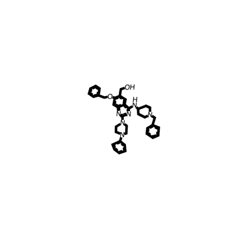 OCc1cc2c(NC3CCN(Cc4ccccc4)CC3)nc(N3CCN(c4ccccc4)CC3)nc2cc1OCc1ccccc1